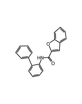 O=C(Nc1ccccc1-c1ccccc1)c1cc2ccccc2o1